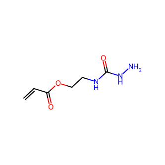 C=CC(=O)OCCNC(=O)NN